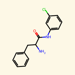 NC(Cc1ccccc1)C(=O)Nc1cccc(Cl)c1